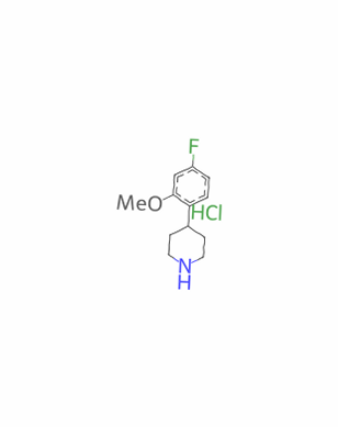 COc1cc(F)ccc1C1CCNCC1.Cl